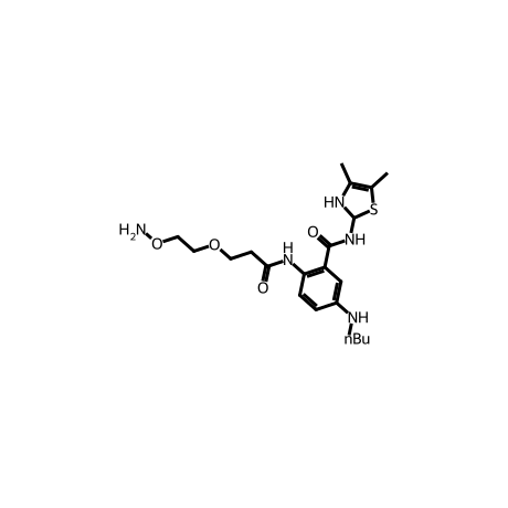 CCCCNc1ccc(NC(=O)CCOCCON)c(C(=O)NC2NC(C)=C(C)S2)c1